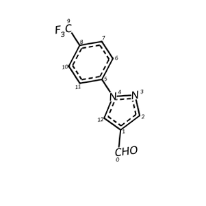 O=Cc1cnn(-c2ccc(C(F)(F)F)cc2)c1